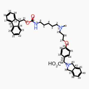 CN(CCCCCNC(=O)OCC1c2ccccc2-c2ccccc21)CCCOc1ccc([C@@H](C(=O)O)N2Cc3ccccc3C2)cc1